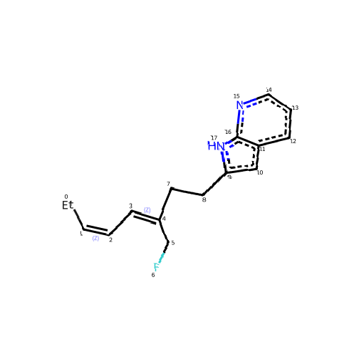 CC/C=C\C=C(/CF)CCc1cc2cccnc2[nH]1